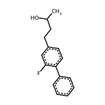 CC(O)CCc1ccc(-c2ccccc2)c(F)c1